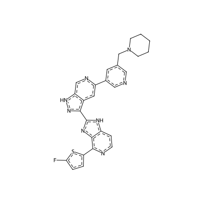 Fc1ccc(-c2nccc3[nH]c(-c4n[nH]c5cnc(-c6cncc(CN7CCCCC7)c6)cc45)nc23)s1